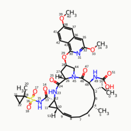 CC[C@@H]1C[C@H](C)CCC=C[C@@H]2C[C@@]2(C(=O)NS(=O)(=O)C2(C)CC2)NC(=O)[C@@H]2C[C@@H](Oc3nc(OC)cc4cc(OC)ccc34)CN2C(=O)[C@H]1NC(=O)O